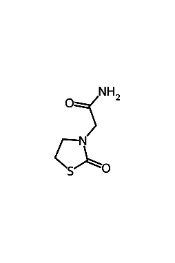 NC(=O)CN1CCSC1=O